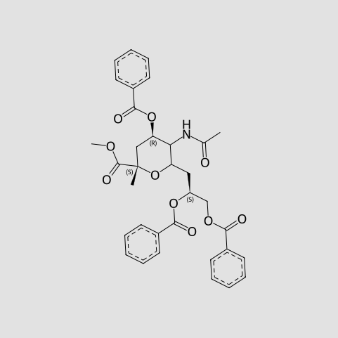 COC(=O)[C@]1(C)C[C@@H](OC(=O)c2ccccc2)C(NC(C)=O)C(C[C@@H](COC(=O)c2ccccc2)OC(=O)c2ccccc2)O1